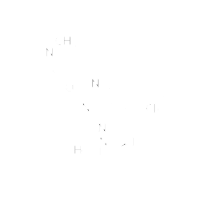 CN1CCC[C@H]1COc1nc(N2C[C@@H]3CC[C@@H](C2)N3)c2cc(Cl)c(-c3ccccc3C3CC3)c(F)c2n1